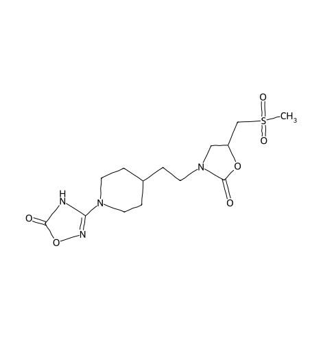 CS(=O)(=O)CC1CN(CCC2CCN(c3noc(=O)[nH]3)CC2)C(=O)O1